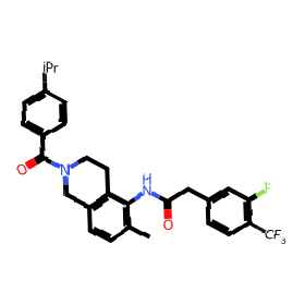 Cc1ccc2c(c1NC(=O)Cc1ccc(C(F)(F)F)c(F)c1)CCN(C(=O)c1ccc(C(C)C)cc1)C2